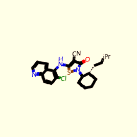 CC(C)CC[C@@H]1CCCCC1n1sc(Nc2c(Cl)ccc3ncccc23)c(C#N)c1=O